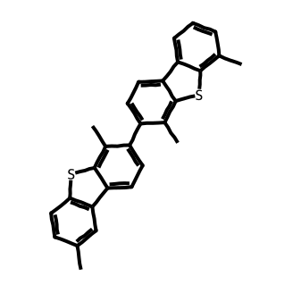 Cc1ccc2sc3c(C)c(-c4ccc5c(sc6c(C)cccc65)c4C)ccc3c2c1